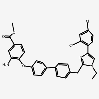 CCn1cc(-c2ccc(Cl)cc2Cl)nc1Cc1ccc(-c2ccc(Oc3ccc(C(=O)OC)cc3N)cc2)cc1